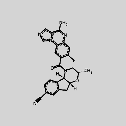 C[C@H]1CN(C(=O)c2cc3c(cc2F)nc(N)c2cncn23)[C@H]2c3ccc(C#N)cc3C[C@H]2O1